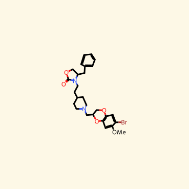 COc1cc2c(cc1Br)OCC(CN1CCC(CCN3C(=O)OCC3Cc3ccccc3)CC1)O2